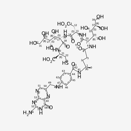 C[C@H](CCC(=O)N[C@H](C(=O)N[C@@H](CC(=O)O)C(=O)N[C@H](C(=O)N[C@@H](CS)C(=O)O)[C@@H](O)[C@H](O)[C@H](O)CO)[C@@H](O)[C@H](O)[C@H](O)CO)NC(=O)c1ccc(NCc2cnc3nc(N)[nH]c(=O)c3n2)cc1